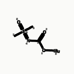 CC(C)(C)OC(=O)N=S(C)(C)=O